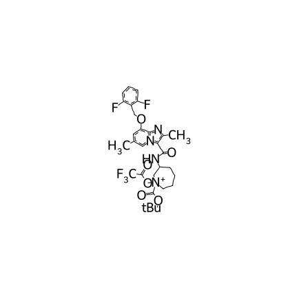 Cc1cc(OCc2c(F)cccc2F)c2nc(C)c(C(=O)NC3CCCC[N+](OC(=O)C(F)(F)F)(C(=O)OC(C)(C)C)C3)n2c1